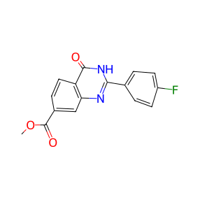 COC(=O)c1ccc2c(=O)[nH]c(-c3ccc(F)cc3)nc2c1